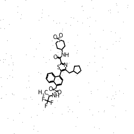 C[C@H](NS(=O)(=O)c1ccc(-c2sc(C(=O)NC3CCS(=O)(=O)CC3)nc2CC2CCCC2)c2ccccc12)C(F)(F)F